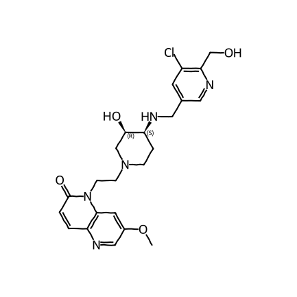 COc1cnc2ccc(=O)n(CCN3CC[C@H](NCc4cnc(CO)c(Cl)c4)[C@H](O)C3)c2c1